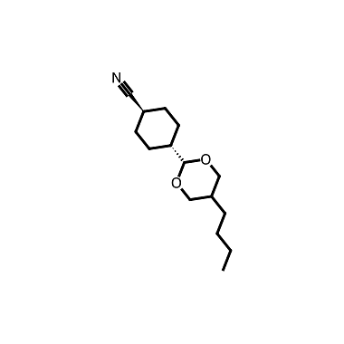 CCCCC1COC([C@H]2CC[C@H](C#N)CC2)OC1